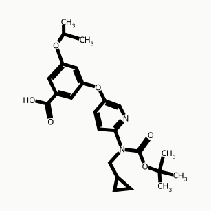 CC(C)Oc1cc(Oc2ccc(N(CC3CC3)C(=O)OC(C)(C)C)nc2)cc(C(=O)O)c1